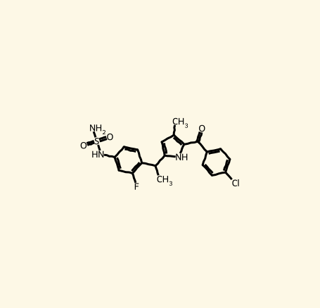 Cc1cc(C(C)c2ccc(NS(N)(=O)=O)cc2F)[nH]c1C(=O)c1ccc(Cl)cc1